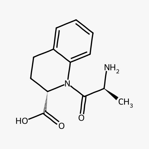 C[C@H](N)C(=O)N1c2ccccc2CC[C@H]1C(=O)O